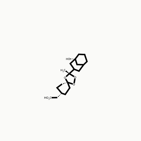 C[C@@]1(C2CC3CCC[C@@](O)(C3)C2)OO[C@]2(CC[C@@H](CC(=O)O)CC2)O1